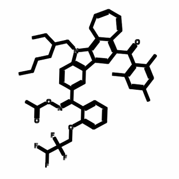 CCCCC(CC)Cn1c2ccc(/C(=N\OC(C)=O)c3ccccc3OCC(F)(F)C(F)F)cc2c2cc(C(=O)c3c(C)cc(C)cc3C)c3c(c21)CC=CC=C3